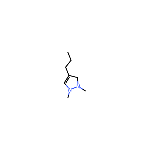 CCCC1=CN(C)N(C)C1